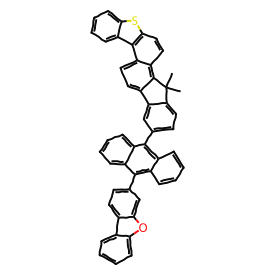 CC1(C)c2ccc(-c3c4ccccc4c(-c4ccc5c(c4)oc4ccccc45)c4ccccc34)cc2-c2ccc3c(ccc4sc5ccccc5c43)c21